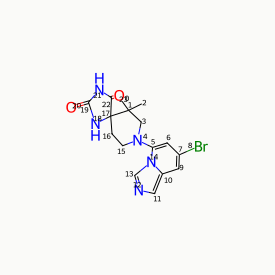 CC1(C)CN(c2cc(Br)cc3cncn23)CCC12NC(=O)NC2=O